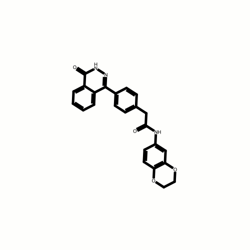 O=C(Cc1ccc(-c2n[nH]c(=O)c3ccccc23)cc1)Nc1ccc2c(c1)OCCO2